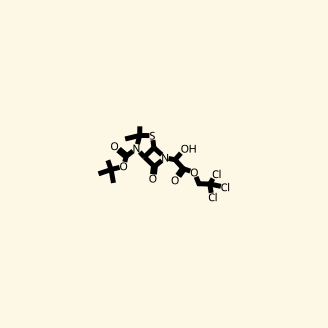 CC(C)(C)OC(=O)N1C2C(=O)N(C(O)C(=O)OCC(Cl)(Cl)Cl)C2SC1(C)C